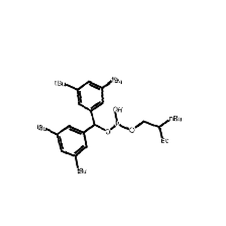 CCCCC(CC)COP(O)OC(c1cc(C(C)(C)C)cc(C(C)(C)C)c1)c1cc(C(C)(C)C)cc(C(C)(C)C)c1